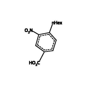 CCCCCCc1ccc(C(=O)O)cc1[N+](=O)[O-]